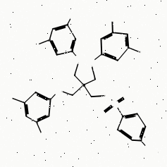 Cc1ccc(S(=O)(=O)OCC(COc2cc(F)cc(F)c2)(COc2cc(F)cc(F)c2)COc2cc(F)cc(F)c2)cc1